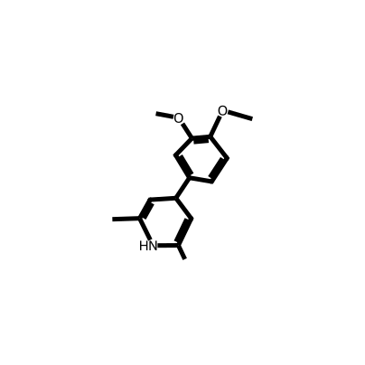 COc1ccc(C2C=C(C)NC(C)=C2)cc1OC